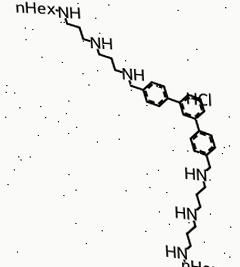 CCCCCCNCCCNCCCNCc1ccc(-c2cccc(-c3ccc(CNCCCNCCCNCCCCCC)cc3)c2)cc1.Cl